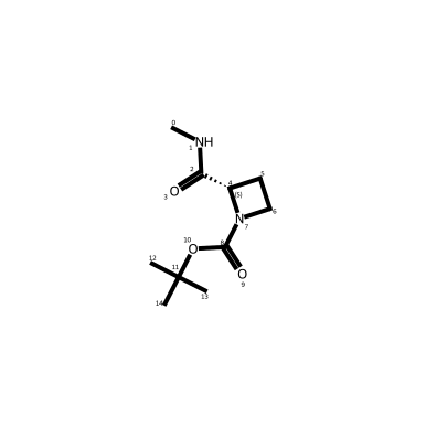 CNC(=O)[C@@H]1CCN1C(=O)OC(C)(C)C